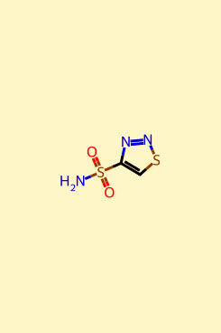 NS(=O)(=O)c1csnn1